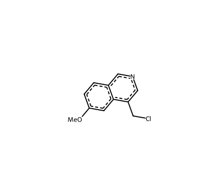 COc1ccc2cncc(CCl)c2c1